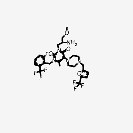 COC[C@@H](N)Cn1c(=O)c(N2CCN(Cc3ccc(C(F)(F)F)o3)CC2)c(C)n(Cc2c(F)cccc2C(F)(F)F)c1=O